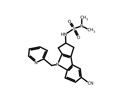 CN(C)S(=O)(=O)NC1Cc2c(n(Cc3ccccn3)c3ccc(C#N)cc23)C1